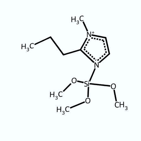 CCCc1n([Si](OC)(OC)OC)cc[n+]1C